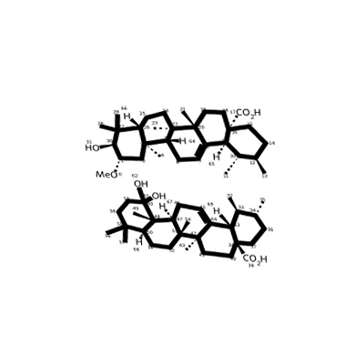 CO[C@H]1C[C@]2(C)[C@H]3CC=C4[C@@H]5[C@@H](C)[C@H](C)CC[C@]5(C(=O)O)CC[C@@]4(C)[C@]3(C)CC[C@H]2C(C)(C)[C@@H]1O.C[C@H]1[C@H](C)CC[C@]2(C(=O)O)CC[C@]3(C)C(=CC[C@@H]4[C@]5(C)[C@@H](CC[C@]43C)C(C)(C)CCC5(O)O)[C@H]12